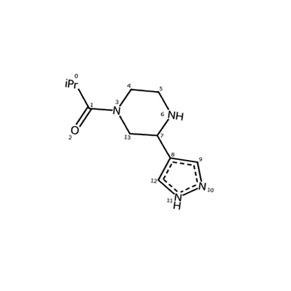 CC(C)C(=O)N1CCNC(c2cn[nH]c2)C1